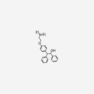 CCN(CC)CCOc1ccc(C(c2ccccc2)C(O)c2ccccc2)cc1